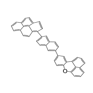 c1cc2c3c(cccc3c1)-c1cc(-c3ccc4cc(-c5ccc6ccc7cccc8ccc5c6c78)ccc4c3)ccc1O2